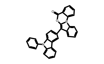 O=c1oc2c(-c3ccc4c(c3)c3ccccc3n4-c3ccccc3)c3ccccc3n2c2ccccc12